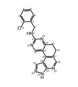 Clc1ccccc1CNc1ncc2c(n1)CCc1cnc3[nH]ncc3c1-2